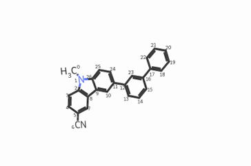 Cn1c2ccc(C#N)cc2c2cc(-c3cccc(-c4ccccc4)c3)ccc21